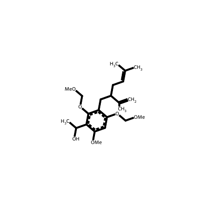 C=C(C)C(CC=C(C)C)Cc1c(OCOC)cc(OC)c(C(C)O)c1OCOC